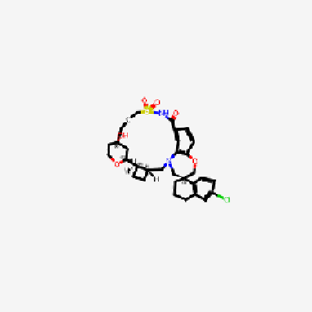 O=C1NS(=O)(=O)CCC[C@@]2(O)CCO[C@@H](C2)[C@@H]2CC[C@H]2CN2C[C@@]3(CCCc4cc(Cl)ccc43)COc3ccc1cc32